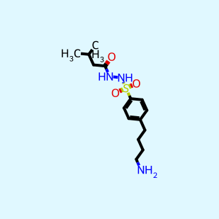 CC(C)CC(=O)NNS(=O)(=O)c1ccc(CCCCN)cc1